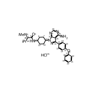 CN[C@@H](C(=O)NC1CCC(n2nc(-c3ccc(Oc4ccccc4)cc3)c3c(N)ncnc32)CC1)C(C)C.Cl